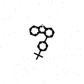 CC(C)(C)c1ccc(-c2cccc3sc4ccccc4c23)cc1